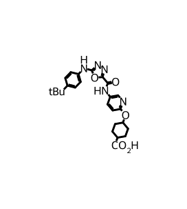 CC(C)(C)c1ccc(Nc2nnc(C(=O)Nc3ccc(OC4CCC(C(=O)O)CC4)nc3)o2)cc1